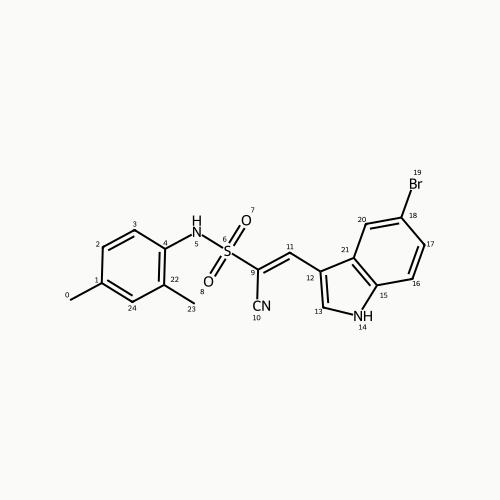 Cc1ccc(NS(=O)(=O)/C(C#N)=C/c2c[nH]c3ccc(Br)cc23)c(C)c1